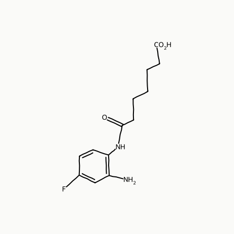 Nc1cc(F)ccc1NC(=O)CCCCCC(=O)O